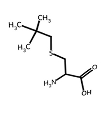 CC(C)(C)CSCC(N)C(=O)O